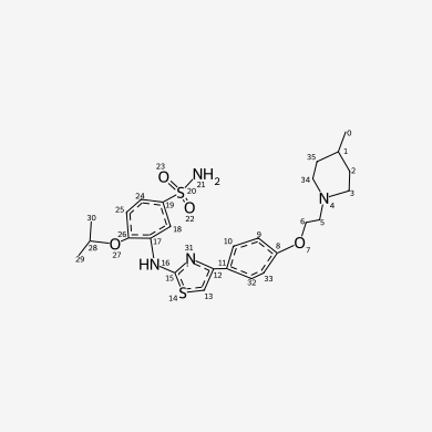 CC1CCN(CCOc2ccc(-c3csc(Nc4cc(S(N)(=O)=O)ccc4OC(C)C)n3)cc2)CC1